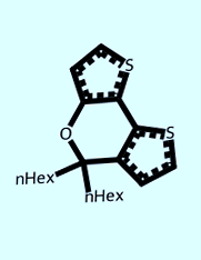 CCCCCCC1(CCCCCC)Oc2ccsc2-c2sccc21